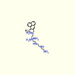 C=c1c(CN(N)CC[N+](N)(N)CCNCCNCCN)cc2cccc3cccc1c32